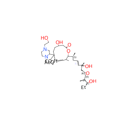 CC[C@H](O)[C@@H](C)[C@H]1O[C@@H]1C[C@@](C)(O)/C=C/C[C@H](C)C1OC(=O)CC(O)CCC(C)(C2CN(CCO)CCN2C(=O)O)C(OC(C)=O)C=CC1C